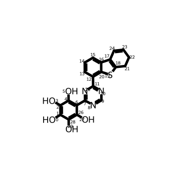 Oc1c(O)c(O)c(-c2ncnc(-c3cccc4c5c(sc34)CCC=C5)n2)c(O)c1O